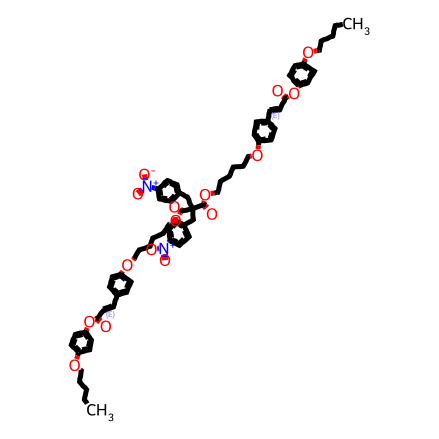 CCCCCOc1ccc(OC(=O)/C=C/c2ccc(OCCCCCCOC(=O)C(Cc3ccc([N+](=O)[O-])cc3)(Cc3ccc([N+](=O)[O-])cc3)C(=O)OCCCCCCOc3ccc(/C=C/C(=O)Oc4ccc(OCCCCC)cc4)cc3)cc2)cc1